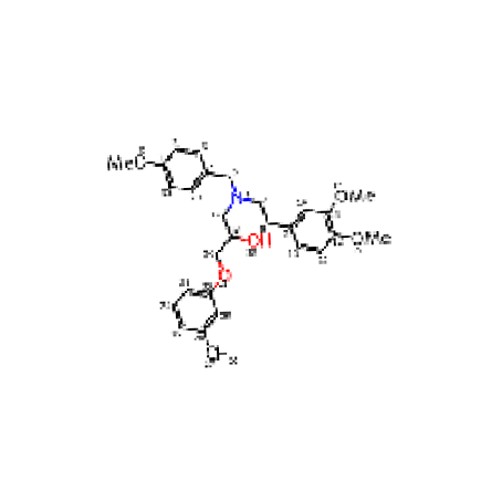 COc1ccc(CN(CCc2ccc(OC)c(OC)c2)CC(O)COc2cccc(C)c2)cc1